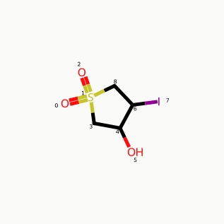 O=S1(=O)CC(O)C(I)C1